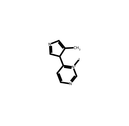 CC1=CN=CC1c1ccnc[n+]1I